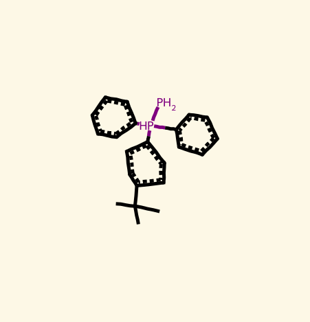 CC(C)(C)c1ccc([PH](P)(c2ccccc2)c2ccccc2)cc1